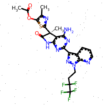 CC(=O)Oc1sc([C@]2(C)C(=O)Nc3nc(-c4nn(CCC(F)(F)C(F)(F)F)c5ncccc45)nc(N)c32)nc1C